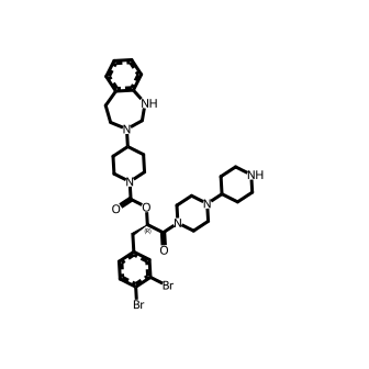 O=C(O[C@H](Cc1ccc(Br)c(Br)c1)C(=O)N1CCN(C2CCNCC2)CC1)N1CCC(N2CCc3ccccc3NC2)CC1